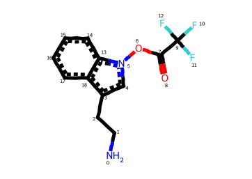 NCCc1cn(OC(=O)C(F)(F)F)c2ccccc12